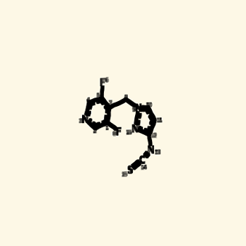 Fc1cncc(F)c1Cn1ccc(N=C=S)n1